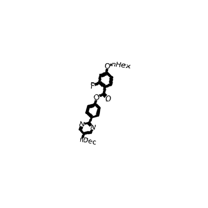 CCCCCCCCCCc1cnc(-c2ccc(OC(=O)c3ccc(OCCCCCC)cc3F)cc2)nc1